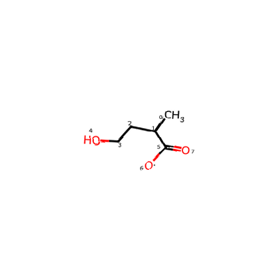 CC(CCO)C([O])=O